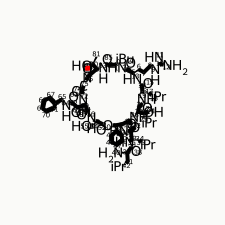 CC[C@H](C)[C@@H]1NC(=O)[C@@H](CCCNC(=N)N)NC(=O)[C@H](CC(C)C)NC(=O)[C@H]([C@H](O)C(C)C)NC(=O)[C@@H](NC(=O)[C@H](CC(C)C)NC(=O)[C@H](N)CC(C)C)[C@@H](c2ccccc2)OC(=O)[C@H](CO)NC(=O)[C@H]([C@H](O)C(=O)NCc2ccccc2)NC(=O)CNC(=O)[C@H]([C@H](C)O)NC1=O